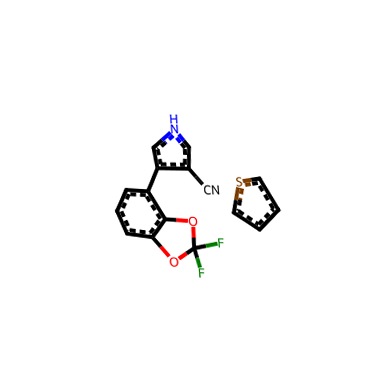 N#Cc1c[nH]cc1-c1cccc2c1OC(F)(F)O2.c1ccsc1